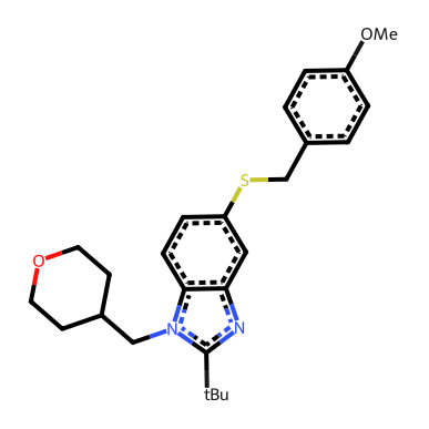 COc1ccc(CSc2ccc3c(c2)nc(C(C)(C)C)n3CC2CCOCC2)cc1